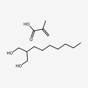 C=C(C)C(=O)O.CCCCCCCC(CO)CO